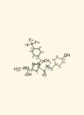 CNC(O)c1cc(C(=O)/N=C/C2CCC(O)CC2)n(C(C)c2ccc(C(F)(F)F)cc2)n1